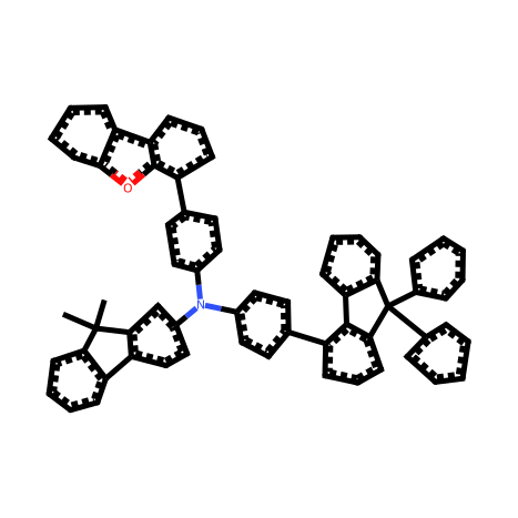 CC1(C)c2ccccc2-c2ccc(N(c3ccc(-c4cccc5c4-c4ccccc4C5(c4ccccc4)c4ccccc4)cc3)c3ccc(-c4cccc5c4oc4ccccc45)cc3)cc21